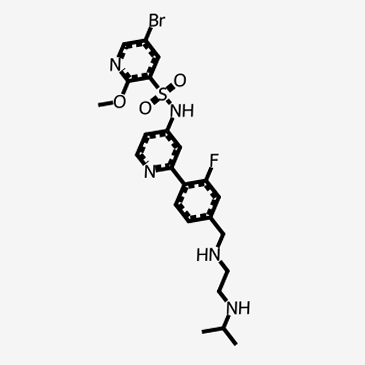 COc1ncc(Br)cc1S(=O)(=O)Nc1ccnc(-c2ccc(CNCCNC(C)C)cc2F)c1